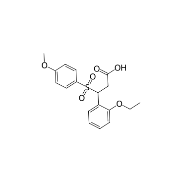 CCOc1ccccc1C(CC(=O)O)S(=O)(=O)c1ccc(OC)cc1